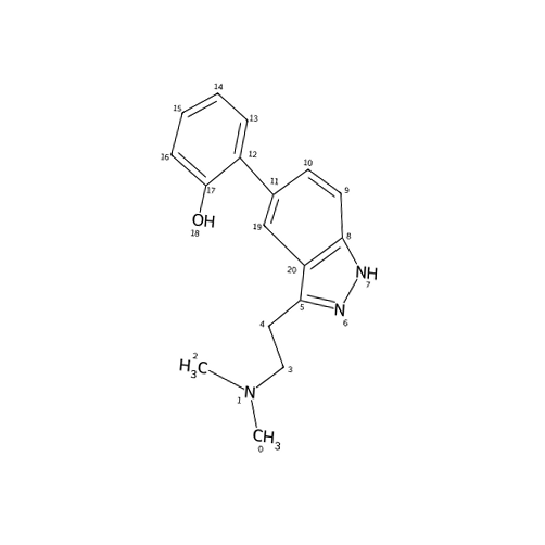 CN(C)CCc1n[nH]c2ccc(-c3ccccc3O)cc12